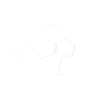 CCCCc1ccccc1O.COC